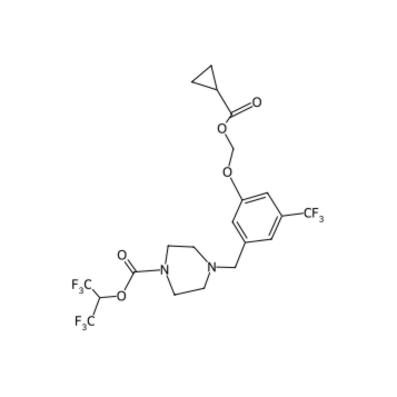 O=C(OCOc1cc(CN2CCN(C(=O)OC(C(F)(F)F)C(F)(F)F)CC2)cc(C(F)(F)F)c1)C1CC1